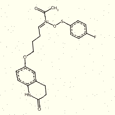 CC(=O)[N+](=CCCCOc1ccc2c(c1)CCC(=O)N2)OSc1ccc(F)cc1